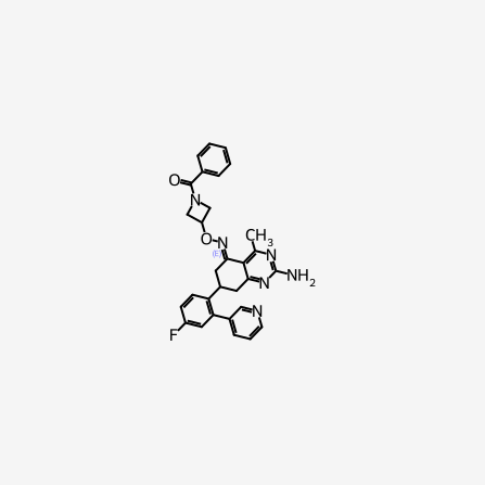 Cc1nc(N)nc2c1/C(=N/OC1CN(C(=O)c3ccccc3)C1)CC(c1ccc(F)cc1-c1cccnc1)C2